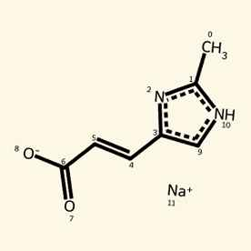 Cc1nc(/C=C/C(=O)[O-])c[nH]1.[Na+]